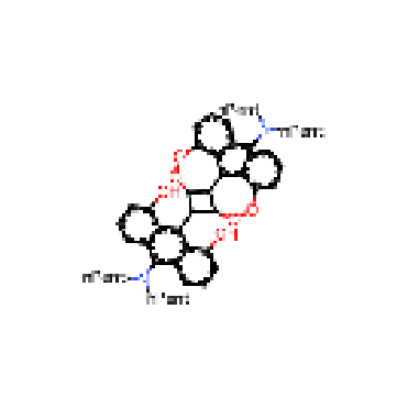 CCCCCN(CCCCC)c1c2cccc(O)c2c(C2C3OOc4cccc5c(N(CCCCC)CCCCC)c6cccc7c6c(c45)C3C2OO7)c2c(O)cccc12